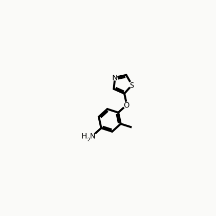 Cc1cc(N)ccc1Oc1cncs1